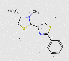 CN1[C@@H](C(=O)O)CS[C@H]1[C@@H]1CSC(c2ccccc2)=N1